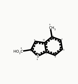 Cc1cccc2sc(C(=O)O)cc12